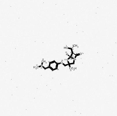 C[C@@H](O)[C@H]1C(=O)N2CC(COc3ccc(CN(C)C)cc3)(C(=O)O)S[C@H]12